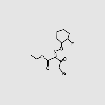 CCOC(=O)/C(=N/OC1CCCCC1F)C(=O)CBr